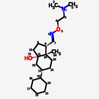 CN(C)CCO/N=C/[C@H]1CC[C@]2(O)C[C@@H](C3CCCCC3)CC[C@]12C